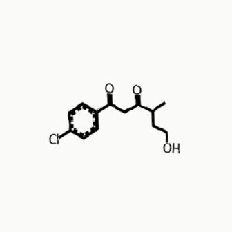 CC(CCO)C(=O)CC(=O)c1ccc(Cl)cc1